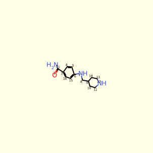 NC(=O)c1ccc(NCC2CCNCC2)cc1